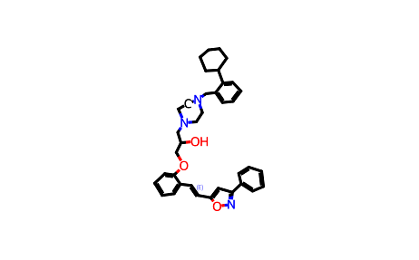 OC(COc1ccccc1/C=C/c1cc(-c2ccccc2)no1)CN1CCN(Cc2ccccc2C2CCCCC2)CC1